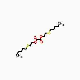 CCCCCSCCOC(=O)C(=O)OCCSCCCCC